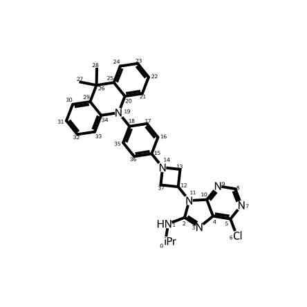 CC(C)Nc1nc2c(Cl)ncnc2n1C1CN(c2ccc(N3c4ccccc4C(C)(C)c4ccccc43)cc2)C1